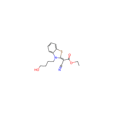 CCOC(=O)/C(C#N)=C1\Sc2ccccc2N1CCCCO